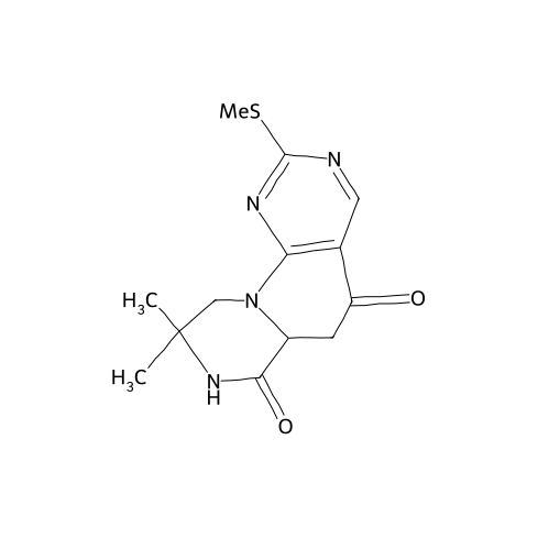 CSc1ncc2c(n1)N1CC(C)(C)NC(=O)C1CC2=O